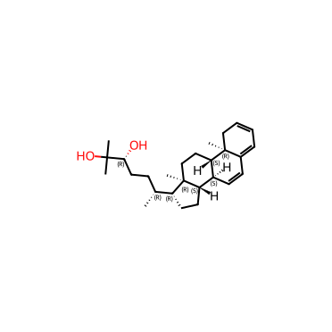 C[C@H](CC[C@@H](O)C(C)(C)O)[C@H]1CC[C@H]2[C@@H]3C=CC4=CC=CC[C@]4(C)[C@H]3CC[C@]12C